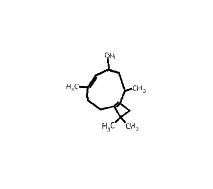 C/C1=C/C(O)CC(C)C2=C(CC1)C(C)(C)C2